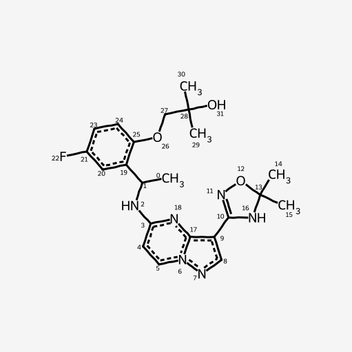 CC(Nc1ccn2ncc(C3=NOC(C)(C)N3)c2n1)c1cc(F)ccc1OCC(C)(C)O